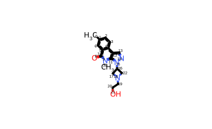 Cc1ccc2c(c1)c(=O)n(C)c1c2cnn1C1CN(CCO)C1